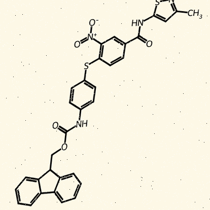 Cc1cc(NC(=O)c2ccc(Sc3ccc(NC(=O)OCC4c5ccccc5-c5ccccc54)cc3)c([N+](=O)[O-])c2)sn1